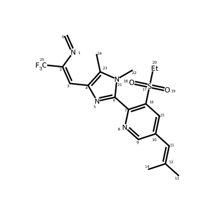 C=N/C(=C\c1nc(-c2ncc(C=C(C)C)cc2S(=O)(=O)CC)n(C)c1C)C(F)(F)F